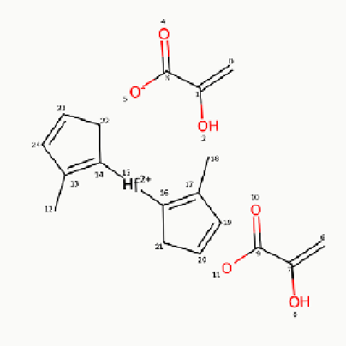 C=C(O)C(=O)[O-].C=C(O)C(=O)[O-].CC1=[C]([Hf+2][C]2=C(C)C=CC2)CC=C1